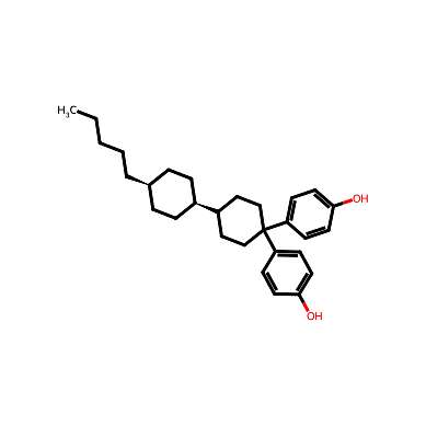 CCCCC[C@H]1CC[C@@H](C2CCC(c3ccc(O)cc3)(c3ccc(O)cc3)CC2)CC1